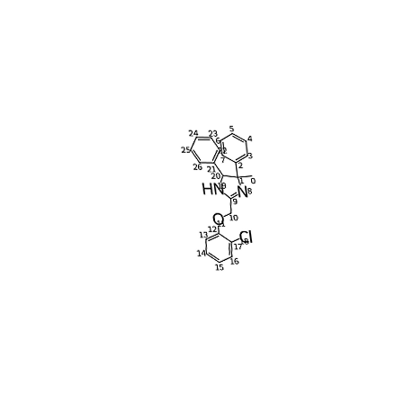 CC1(c2ccccc2)N=C(COc2ccccc2Cl)NC1c1ccccc1